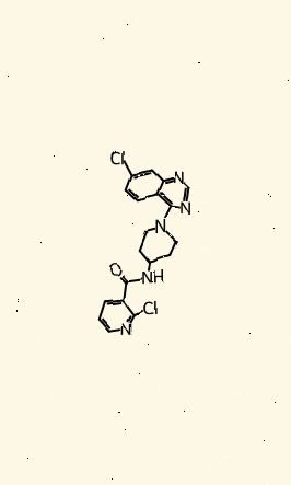 O=C(NC1CCN(c2ncnc3cc(Cl)ccc23)CC1)c1cccnc1Cl